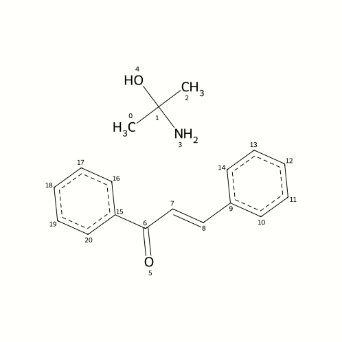 CC(C)(N)O.O=C(/C=C/c1ccccc1)c1ccccc1